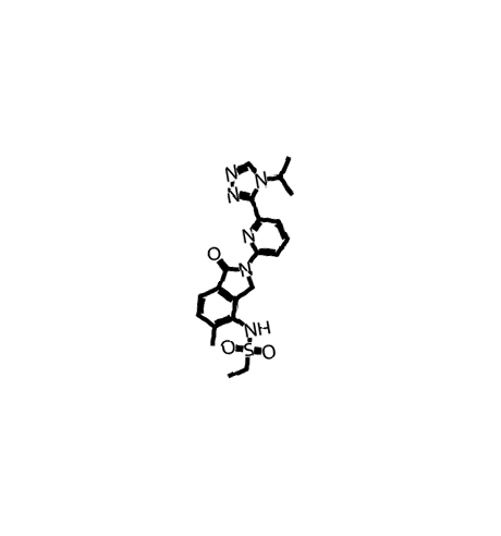 CCS(=O)(=O)Nc1c(C)ccc2c1CN(c1cccc(-c3nncn3C(C)C)n1)C2=O